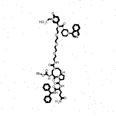 CC(C)(C)OC(=O)N[C@H]1CN(C(=O)NCCOCCOCCOCCN(C(=O)[C@H]2CCCN(c3cncc4ccccc34)C2)c2ccc(=O)n(CC(=O)O)c2)CC[C@H]2CC[C@@H](C(=O)NC(CCC(N)=O)C(=O)NC(c3ccccc3)c3ccccc3)N2C1=O